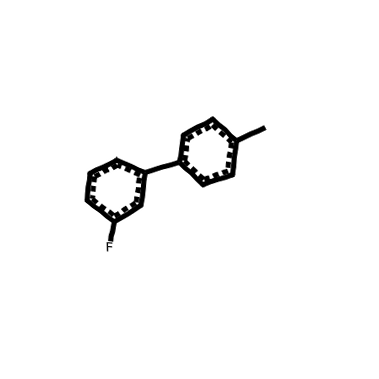 Cc1ccc(-c2[c]ccc(F)c2)cc1